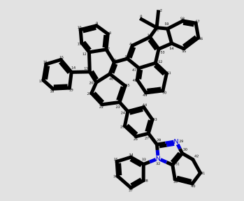 CC1(C)c2cc(-c3c4ccccc4c(-c4ccccc4)c4ccc(-c5ccc(-c6nc7c(n6-c6ccccc6)C=CCC7)cc5)cc34)c3ccccc3c2C2C=CC=CC21